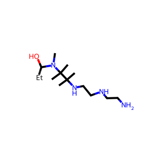 CCC(O)N(C)C(C)(C)C(C)(C)NCCNCCN